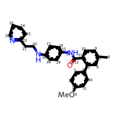 COc1ccc(-c2cc(C)ccc2C(=O)Nc2ccc(NCCc3ccccn3)cc2)cc1